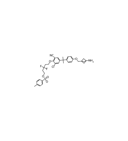 Cc1ccc(S(=O)(=O)OCCC(F)(F)CCOc2c(Cl)cc(C(C)(C)c3ccc(OCC45CC(N)(C4)C5)cc3)cc2C#N)cc1